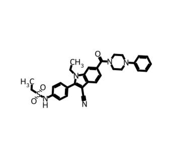 CCn1c(-c2ccc(NS(=O)(=O)CC)cc2)c(C#N)c2ccc(C(=O)N3CCN(c4ccccc4)CC3)cc21